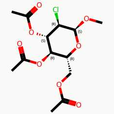 CO[C@H]1O[C@H](COC(C)=O)[C@@H](OC(C)=O)[C@H](OC(C)=O)[C@H]1Cl